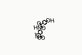 Cc1noc(=O)c2ccc(NC(=O)C(=O)c3ccc(O)cc3)cc12